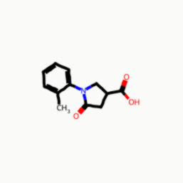 Cc1ccccc1N1CC(C(=O)O)CC1=O